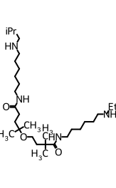 CCNCCCCCCNC(=O)C(C)(C)CCOC(C)(C)CCC(=O)NCCCCCCNCC(C)C